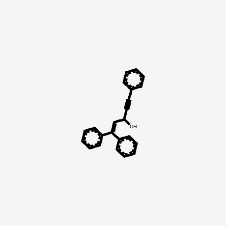 OC(C#Cc1ccccc1)C=C(c1ccccc1)c1ccccc1